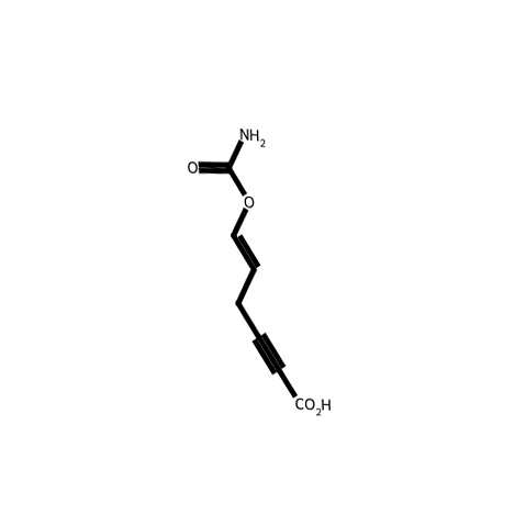 NC(=O)OC=CCC#CC(=O)O